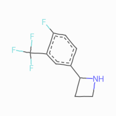 Fc1ccc(C2CCN2)cc1C(F)(F)F